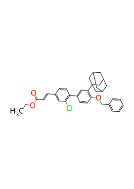 CCOC(=O)/C=C/c1ccc(-c2ccc(OCc3ccccc3)c(C34CC5CC(CC(C5)C3)C4)c2)c(Cl)c1